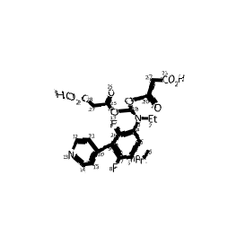 CCCC.CCN(c1ccc(F)c(-c2ccncc2)c1F)C(OC(=O)CC(=O)O)OC(=O)CC(=O)O